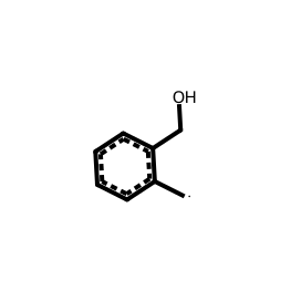 [CH2]c1ccccc1CO